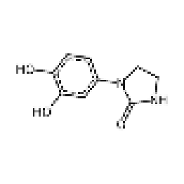 O=C1NCCN1c1ccc(O)c(O)c1